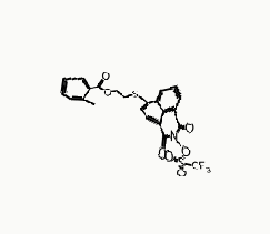 Cc1ccccc1C(=O)OCCSc1ccc2c3c(cccc13)C(=O)N(OS(=O)(=O)C(F)(F)F)C2=O